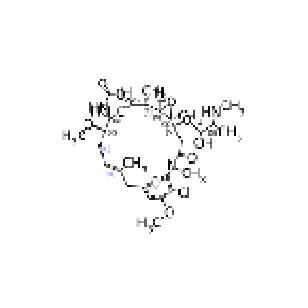 CN[C@@H](C)C(O)O[C@H]1CC(=O)N(C)c2cc(cc(OC)c2Cl)C/C(C)=C/C=C/[C@@H](OC)[C@@]2(O)C[C@H](OC(=O)N2)[C@@H](C)[C@@H]2O[C@@]12C